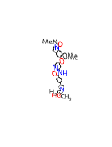 CNC(=O)n1ccc2cc(Oc3ccnc(NC(=O)c4ccc(C5CCN(CC(C)(C)O)CC5)cc4)c3)c(OC)cc21